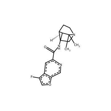 CC1(C)[C@@H](NC(=O)c2cc3c(F)coc3cn2)C2CCN1CC2